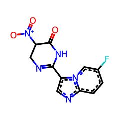 O=C1NC(c2cnc3ccc(F)cn23)=NCC1[N+](=O)[O-]